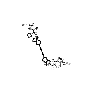 CC[C@@H](c1nc2cc(C#CC#Cc3ccc4[nH]c([C@@H]5CCCN5C(=O)[C@@H](NC(=O)OC)C(C)C)nc4c3)ccc2[nH]1)N(CC)C(=O)[C@@H](NC(=O)OC)C(C)C